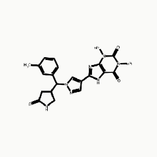 CCCn1c(=O)c2[nH]c(-c3cnn(C(c4cccc(C)c4)C4CNC(=O)C4)c3)nc2n(CCC)c1=O